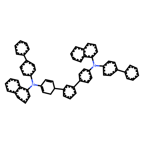 C1=CC(c2cccc(-c3ccc(N(c4ccc(-c5ccccc5)cc4)c4cccc5ccccc45)cc3)c2)CC=C1N(c1ccc(-c2ccccc2)cc1)c1cccc2ccccc12